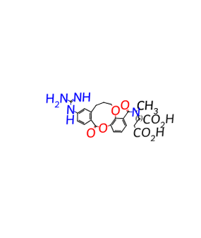 CN(C(=O)c1cccc2c1OCCCc1cc(NC(=N)N)ccc1C(=O)O2)[C@@H](CC(=O)O)C(=O)O